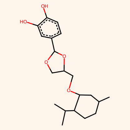 CC1CCC(C(C)C)C(OCC2COC(c3ccc(O)c(O)c3)O2)C1